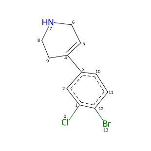 Clc1cc(C2=CCNCC2)ccc1Br